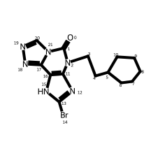 O=c1n(CCC2CCCCC2)c2nc(Br)[nH]c2c2nncn12